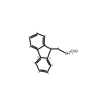 O=CNCC1c2ccccc2-c2ccccc21